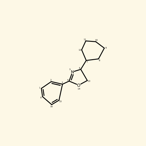 c1ccc(C2=NC(C3CCCCC3)CO2)cc1